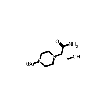 CC(C)(C)N1CCN([C@@H](CO)C(N)=O)CC1